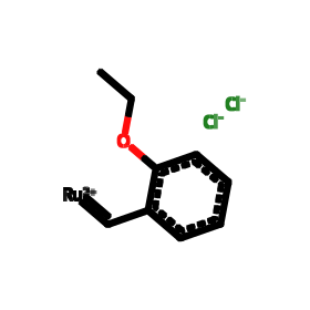 CCOc1ccccc1[CH]=[Ru+2].[Cl-].[Cl-]